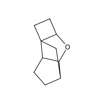 C1CC2C3OC4CCC42CC13